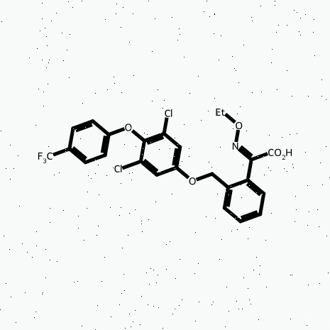 CCON=C(C(=O)O)c1ccccc1COc1cc(Cl)c(Oc2ccc(C(F)(F)F)cc2)c(Cl)c1